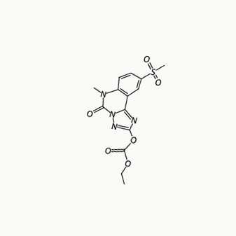 CCOC(=O)Oc1nc2c3cc(S(C)(=O)=O)ccc3n(C)c(=O)n2n1